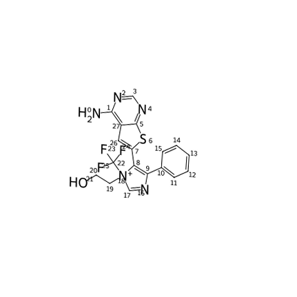 Nc1ncnc2sc(C3=C(c4ccccc4)N=C[N+]3(CCO)C(F)(F)F)cc12